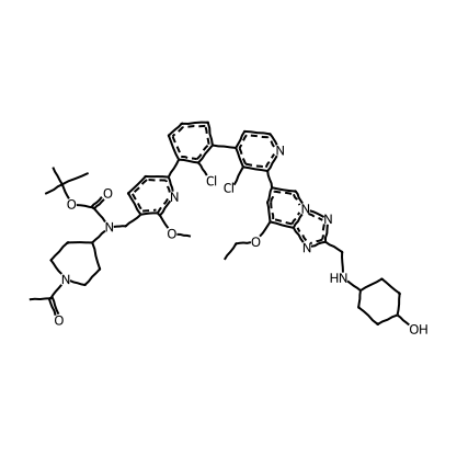 CCOc1cc(-c2nccc(-c3cccc(-c4ccc(CN(C(=O)OC(C)(C)C)C5CCN(C(C)=O)CC5)c(OC)n4)c3Cl)c2Cl)cn2nc(CNC3CCC(O)CC3)nc12